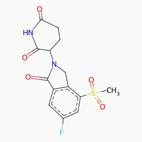 CS(=O)(=O)c1cc(F)cc2c1CN(C1CCC(=O)NC1=O)C2=O